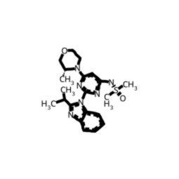 CC(C)c1nc2ccccc2n1-c1nc(N=S(C)(C)=O)cc(N2CCOC[C@H]2C)n1